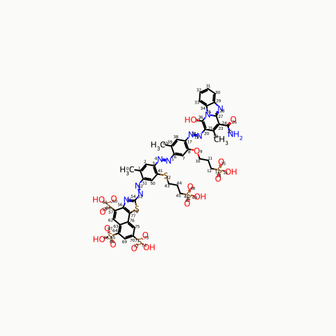 Cc1cc(N=Nc2cc(OCCCS(=O)(=O)O)c(N=Nc3c(C)c(C(N)=O)c4nc5ccccc5n4c3O)cc2C)c(SCCCS(=O)(=O)O)cc1N=Nc1nc2c(S(=O)(=O)O)cc3c(S(=O)(=O)O)cc(S(=O)(=O)O)cc3c2s1